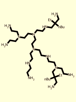 CCCCC(CC)(CN)CNCCN(CCN(CCN)CCN)CCN(CCNCCN)CCNCCN(CCN)CC(CC)(CN)CCCC